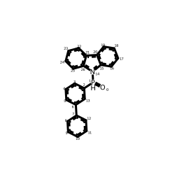 O=[PH](c1cccc(-c2ccccc2)c1)n1c2ccccc2c2ccccc21